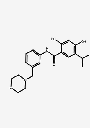 CC(C)c1cc(C(=O)Nc2cccc(CN3CCOCC3)c2)c(O)cc1O